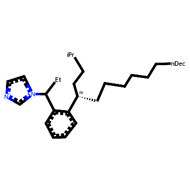 CCCCCCCCCCCCCCCC[C@@H](CCC(C)C)c1ccccc1C(CC)n1ccnc1